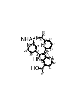 CC(=O)Nc1cc(-c2[nH]c3c(C(C)O)ccnc3c2-c2cccc(C(F)F)n2)ccn1